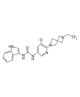 O=C(Nc1cnc(N2CC3(CN(CC(F)(F)F)C3)C2)c(Cl)c1)Nc1c[nH]c2ccccc12